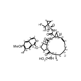 COc1cc2ccnc(O[C@@H]3C[C@H]4C(=O)N[C@]5(C(=O)NS(=O)(=O)C6(C(F)F)CC6)C[C@H]5/C=C\CC[C@H](C)C[C@@H](C)[C@H](NC(=O)O)C(=O)N4C3)c2cc1F